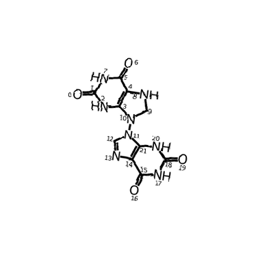 O=c1[nH]c2c(c(=O)[nH]1)NCN2n1cnc2c(=O)[nH]c(=O)[nH]c21